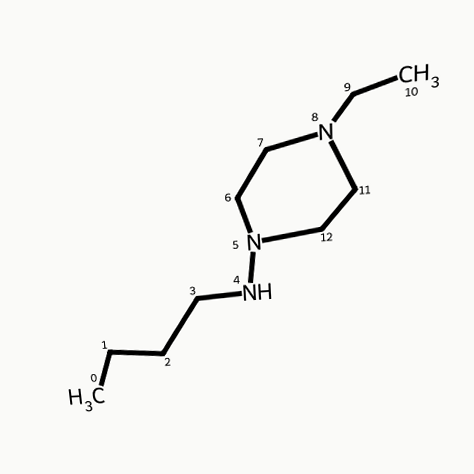 CCCCNN1CCN(CC)CC1